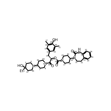 CCC1(O)CCN(C2CCN(C(=O)[C@@H](Cc3cc(C)c(O)c(C)c3)OC(=O)N3CCC(N4CCc5ccccc5NC4=O)CC3)CC2)CC1